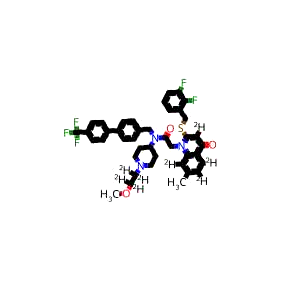 [2H]c1c(C)c([2H])c2c(c1[2H])c(=O)c([2H])c(SCc1cccc(F)c1F)n2CC(=O)N(Cc1ccc(-c2ccc(C(F)(F)F)cc2)cc1)C1CCN(C([2H])([2H])C([2H])([2H])OC)CC1